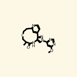 COc1cc(-n2cc3c(n2)-c2ccnc(c2)CCCCC(C)C(=O)N3)ncn1